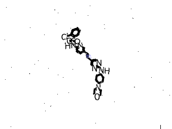 O=S(=O)(Nc1ccc(/C=C/c2cnc(NC3CCC(N4CCOCC4)CC3)nc2)cn1)c1ccccc1Cl